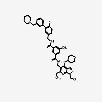 CCc1nc2c(cnn2CC)c(NC2CCOCC2)c1CNC(=O)c1cc(C)cc(C(=O)NCc2ccc(Cl)c(-c3cccc(CN4CCCCC4)c3)c2)c1